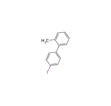 Cc1ccccc1-c1c[c]c(I)cc1